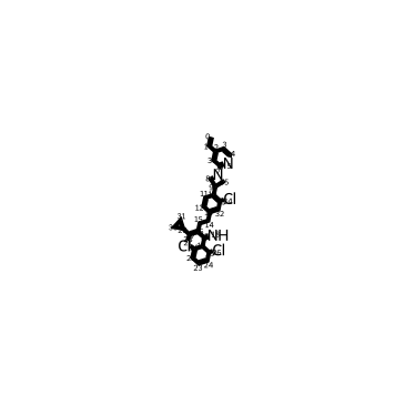 C=Cc1ccnc(N2CC(c3ccc(CC/C(C(=N)C4C(Cl)=CC=CC4Cl)=C(/C)C4CC4)cc3Cl)C2)c1